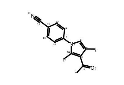 CC(=O)c1c(C)cn(-c2ccc(C#N)cc2)c1C